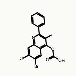 Cc1c(-c2ccccc2)nc2cc(Cl)c(Br)cc2c1OC(=O)O